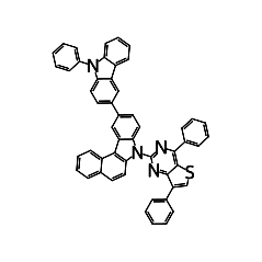 c1ccc(-c2csc3c(-c4ccccc4)nc(-n4c5ccc(-c6ccc7c(c6)c6ccccc6n7-c6ccccc6)cc5c5c6ccccc6ccc54)nc23)cc1